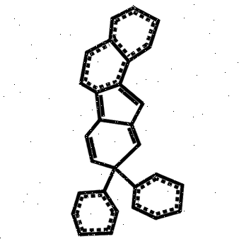 [c]1ccc2c3c(ccc2c1)=C1C=CC(c2ccccc2)(c2ccccc2)C=C1C=3